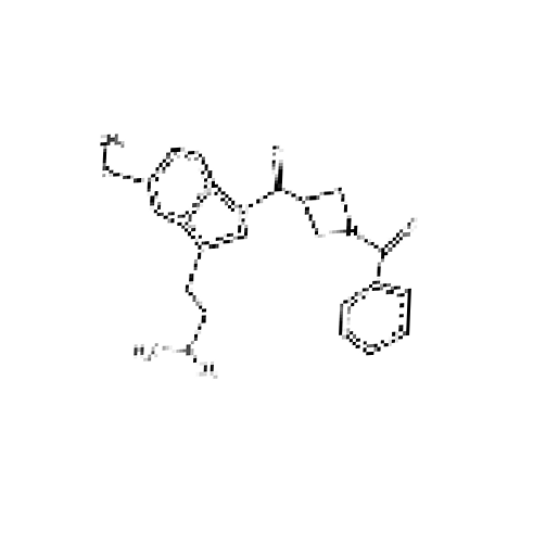 COc1ccc2c(c1)c(CCN(C)C)cn2C(=O)C1CN(C(=O)c2ccccc2)C1